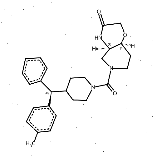 Cc1ccc([C@@H](c2ccccc2)C2CCN(C(=O)N3CC[C@@H]4OCC(=O)N[C@@H]4C3)CC2)cc1